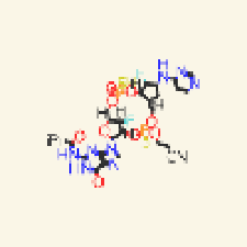 CC(C)C(=O)Nc1nc2c(ncn2[C@@H]2O[C@@H]3COP(=O)(S)O[C@@H]4[C@@H](COP(=S)(OCCC#N)O[C@@H]2[C@@H]3F)C[C@@H](Nc2ccncn2)[C@@H]4F)c(=O)[nH]1